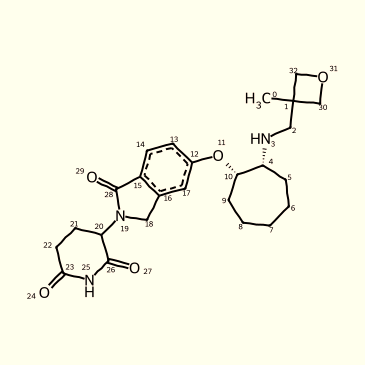 CC1(CN[C@@H]2CCCCC[C@@H]2Oc2ccc3c(c2)CN(C2CCC(=O)NC2=O)C3=O)COC1